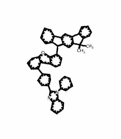 CC1(C)c2ccccc2-c2cc3c(cc21)C(c1cccc2c1oc1cccc(-c4ccc(-c5nc6ccccc6n5-c5ccccc5)cc4)c12)c1ccccc1-3